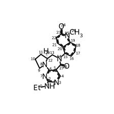 CCNc1ncc2c(n1)N1CCC[C@H]1CN(c1cccc3c1ccc(=O)n3C)C2=O